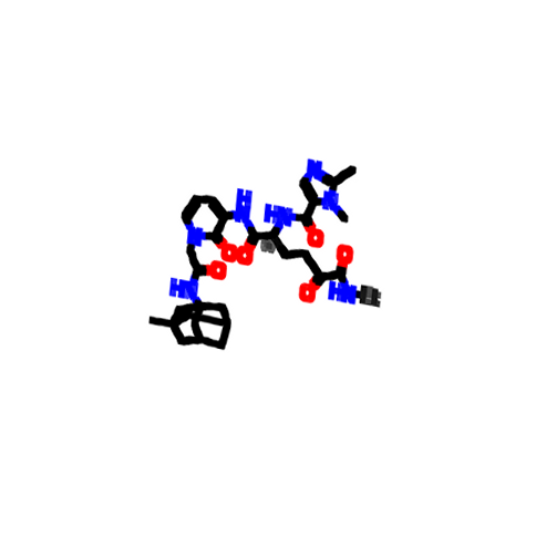 CCNC(=O)C(=O)CC[C@H](NC(=O)c1cnc(C)n1C)C(=O)Nc1cccn(CC(=O)NC23CC4CC(CC(C)(C4)C2)C3)c1=O